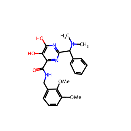 COc1cccc(CNC(=O)c2nc(C(c3ccccc3)N(C)C)nc(O)c2O)c1OC